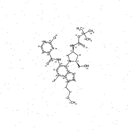 COCCn1ncc2c(N3C[C@@H](NC(=O)OC(C)(C)C)C[C@H]3CO)c(NC(=O)c3ccnc(Cl)n3)cc(F)c21